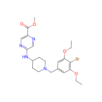 CCOc1cc(CN2CCC(Nc3cnc(C(=O)OC)cn3)CC2)cc(OCC)c1Br